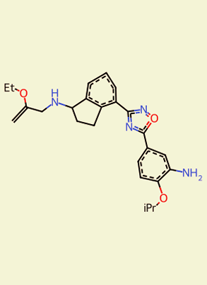 C=C(CNC1CCc2c(-c3noc(-c4ccc(OC(C)C)c(N)c4)n3)cccc21)OCC